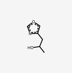 CC(O)Cc1cocn1